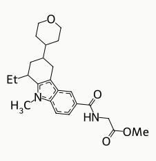 CCC1CC(C2CCOCC2)Cc2c1n(C)c1ccc(C(=O)NCC(=O)OC)cc21